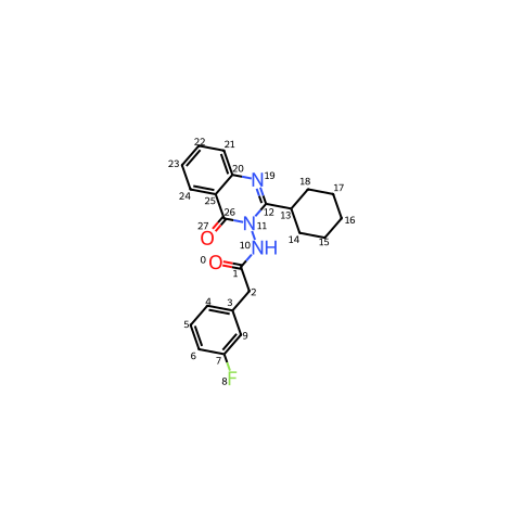 O=C(Cc1cccc(F)c1)Nn1c(C2CCCCC2)nc2ccccc2c1=O